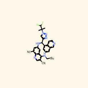 CC(C)(C)CNc1c(C#N)cnc2c(C#N)cc(NC(c3cn(C(C)(C)C(F)F)nn3)c3cccc4cnccc34)cc12